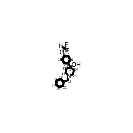 OC1(c2ccc(OC(F)(F)F)cc2)CCN(Cc2ccccc2)CC1